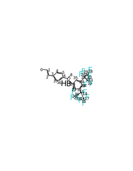 C/C=C/c1ccc(C(C)Bc2cc(C(F)(C(F)(F)F)C(F)(F)F)cc(C(F)(C(F)(F)F)C(F)(F)F)c2)cc1